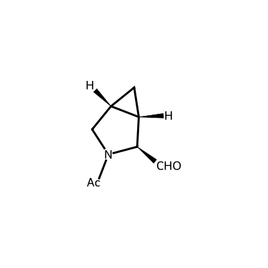 CC(=O)N1C[C@@H]2C[C@@H]2[C@H]1C=O